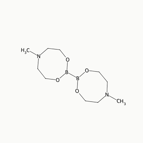 CN1CCOB(B2OCCN(C)CCO2)OCC1